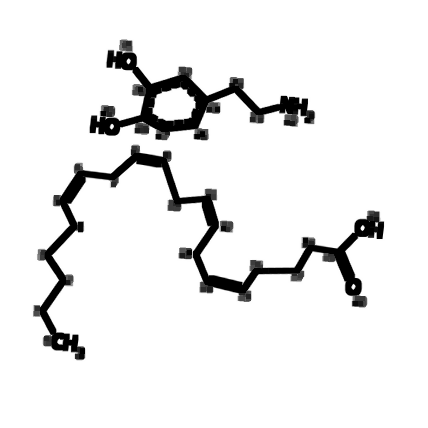 CCCCC/C=C\C/C=C\C/C=C\C/C=C\CCCC(=O)O.NCCc1ccc(O)c(O)c1